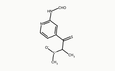 CC(C(=S)c1ccnc(NC=O)c1)[S+](C)[O-]